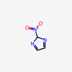 O=[N+]([O-])C1N=CC=N1